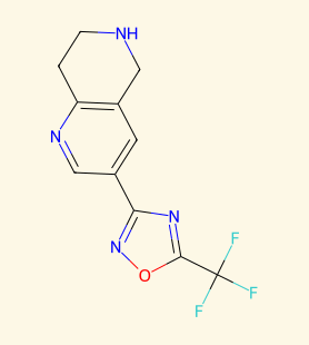 FC(F)(F)c1nc(-c2cnc3c(c2)CNCC3)no1